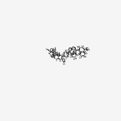 C#C[C@@]1(O)CC[C@H]2[C@@H]3CCc4cc(OC)c(N5CCN(C(=O)[C@@H]6CCCN6C(=O)c6ccc(F)c7ccccc67)CC5)cc4[C@H]3CC[C@@]21C